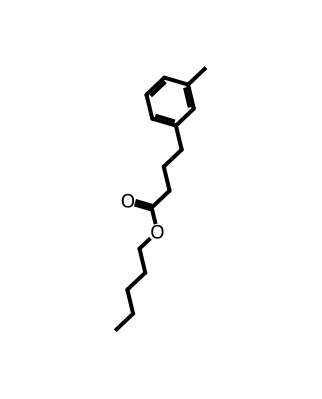 CCCCCOC(=O)CCCc1cccc(C)c1